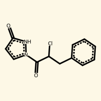 O=C(C(Cl)Cc1ccccc1)n1ccc(=O)[nH]1